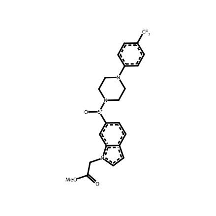 COC(=O)Cn1ccc2ccc([S+]([O-])N3CCN(c4ccc(C(F)(F)F)cc4)CC3)cc21